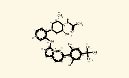 CC(=O)N[C@@H]1[C@H](N)CN(c2ccncc2Nc2ncc3ccc(-c4c(F)cc(C(C)(C)O)cc4F)nn23)C[C@@H]1C